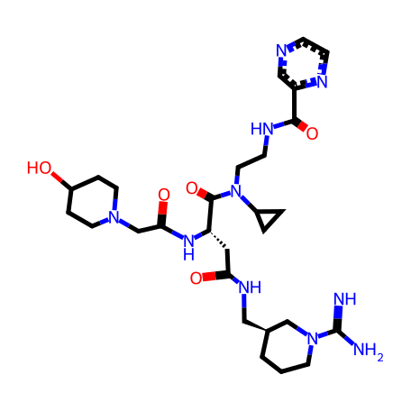 N=C(N)N1CCC[C@@H](CNC(=O)C[C@H](NC(=O)CN2CCC(O)CC2)C(=O)N(CCNC(=O)c2cnccn2)C2CC2)C1